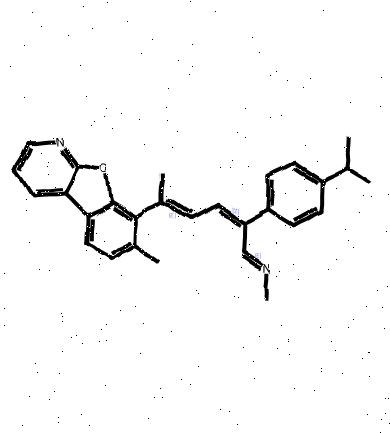 C/N=C/C(=C\C=C(/C)c1c(C)ccc2c1oc1ncccc12)c1ccc(C(C)C)cc1